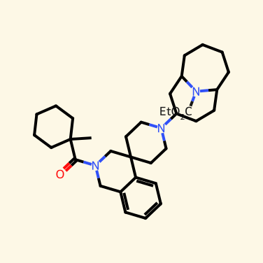 CCOC(=O)N1C2CCCCC1CC(N1CCC3(CC1)CN(C(=O)C1(C)CCCCC1)Cc1ccccc13)CC2